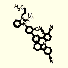 C/C=C\CN1c2ccccc2N(C2=CC=C(c3cccc(-c4c(-n5c6c(c7c5CCCC7)C=C(C#N)CC6)ccc(C#N)c4C#N)c3)C(C)C2)C1C